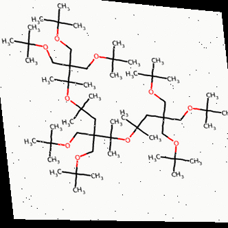 CC(C)(C)OCC(COC(C)(C)C)(COC(C)(C)C)CC(C)(C)OC(C)(C)C(COC(C)(C)C)(COC(C)(C)C)CC(C)(C)OC(C)(C)C(COC(C)(C)C)(COC(C)(C)C)COC(C)(C)C